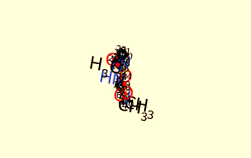 CCN(CC)S(=O)(=O)c1ccc(NC(=O)CSc2nc3ccccc3c(=O)n2C)cc1